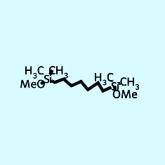 CO[Si](C)(C)CCCCCCC[Si](C)(C)OC